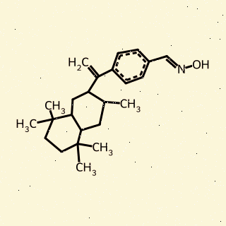 C=C(c1ccc(C=NO)cc1)C1CC2C(CC1C)C(C)(C)CCC2(C)C